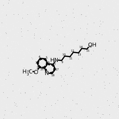 COc1cccc2c(NCCCCCCCO)ccnc12